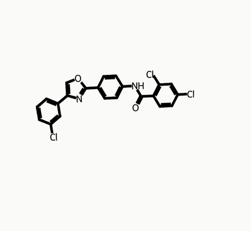 O=C(Nc1ccc(-c2nc(-c3cccc(Cl)c3)co2)cc1)c1ccc(Cl)cc1Cl